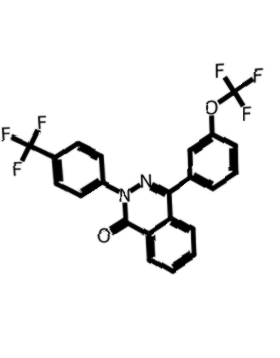 O=c1c2ccccc2c(-c2cccc(OC(F)(F)F)c2)nn1-c1ccc(C(F)(F)F)cc1